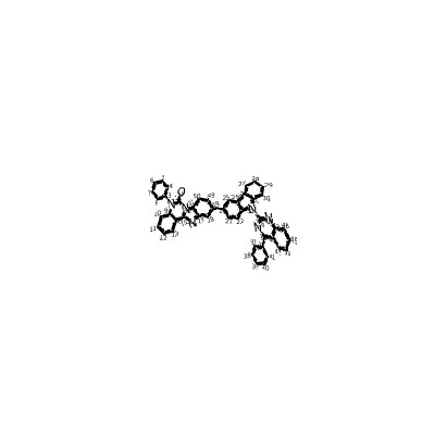 O=c1n(-c2ccccc2)c2ccccc2c2nc3cc(-c4ccc5c(c4)c4ccccc4n5-c4nc(-c5ccccc5)c5ccccc5n4)ccc3n12